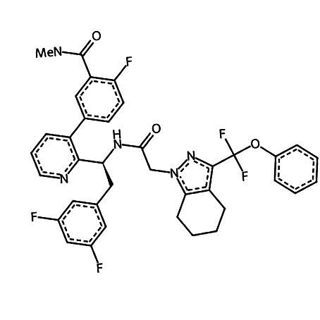 CNC(=O)c1cc(-c2cccnc2[C@H](Cc2cc(F)cc(F)c2)NC(=O)Cn2nc(C(F)(F)Oc3ccccc3)c3c2CCCC3)ccc1F